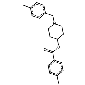 Cc1ccc(CN2CCC(OC(=O)c3ccc(C)cc3)CC2)cc1